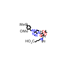 COc1ccc(CNc2ncnc3c2ccn3[C@@H]2O[C@H](CN(CCCCC(=O)O)C(C)C)[C@H]3OC(C)(C)O[C@H]32)c(OC)c1